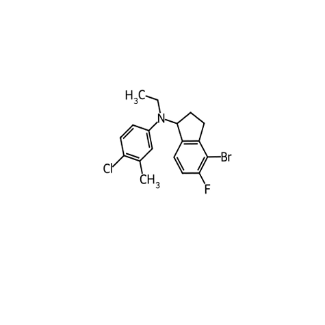 CCN(c1ccc(Cl)c(C)c1)C1CCc2c1ccc(F)c2Br